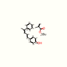 C=C(C)C(=O)OC(C)(C)C.CC(=CC=Cc1ccc(O)cc1)c1ccccc1